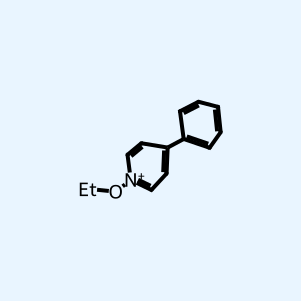 CCO[n+]1ccc(-c2ccccc2)cc1